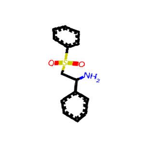 NC(CS(=O)(=O)c1ccccc1)c1ccccc1